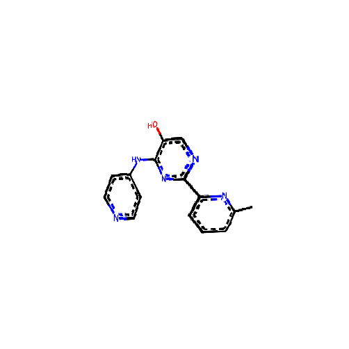 Cc1cccc(-c2ncc(O)c(Nc3ccncc3)n2)n1